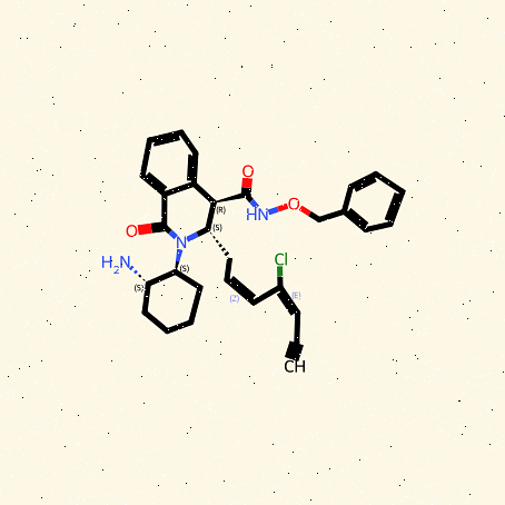 C#C/C=C(Cl)\C=C/C[C@H]1[C@H](C(=O)NOCc2ccccc2)c2ccccc2C(=O)N1[C@H]1CCCC[C@@H]1N